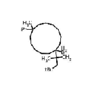 BC1(C(C)(C)CC(C)(C)C)CCCCCCC(C)(C(C)C)CCCCC1